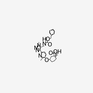 Cc1nc(-c2nnn(C)c2CNC(=O)OCc2ccccc2)ccc1OC1CCC[C@](F)(C(=O)O)C1